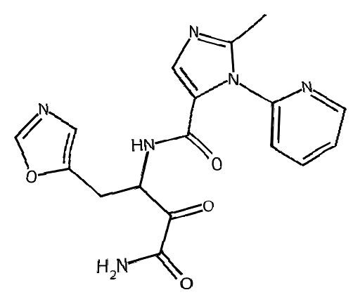 Cc1ncc(C(=O)NC(Cc2cnco2)C(=O)C(N)=O)n1-c1ccccn1